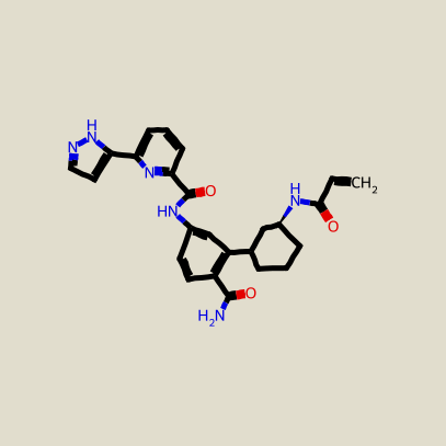 C=CC(=O)N[C@H]1CCCC(c2cc(NC(=O)c3cccc(-c4ccn[nH]4)n3)ccc2C(N)=O)C1